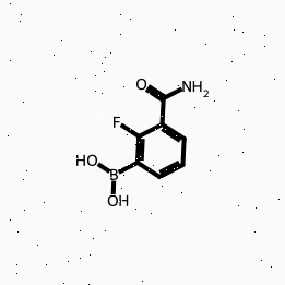 NC(=O)c1cccc(B(O)O)c1F